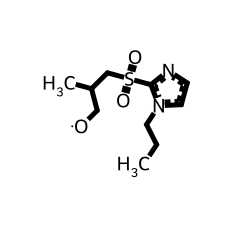 CCCn1ccnc1S(=O)(=O)CC(C)C[O]